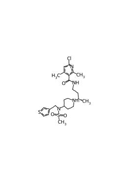 Cc1cc(Cl)nc(C)c1C(=O)NCC[C@@H](C)N1CCC(N(Cc2ccsc2)S(C)(=O)=O)CC1